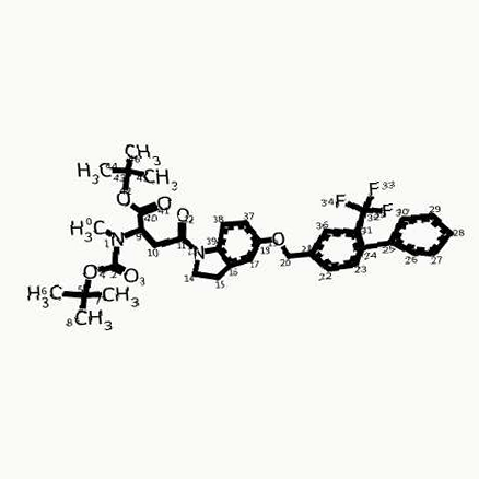 CN(C(=O)OC(C)(C)C)C(CC(=O)N1CCc2cc(OCc3ccc(-c4ccccc4)c(C(F)(F)F)c3)ccc21)C(=O)OC(C)(C)C